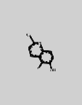 Oc1ccc2nc(Cl)ccc2c1F